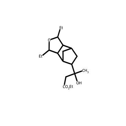 CCOC(=O)CC(C)(O)C1CC2CC1C1C(CC)OC(CC)C21